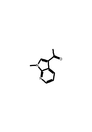 CC(=O)c1cn(C)c2ncccc12